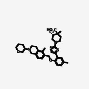 Cc1ccc(OCc2ccc3c(c2C)CCN(C2CCCOC2)C3)c(-c2csc(N3CC[C@](C)(C(=O)O)[C@@H](C)C3)n2)c1